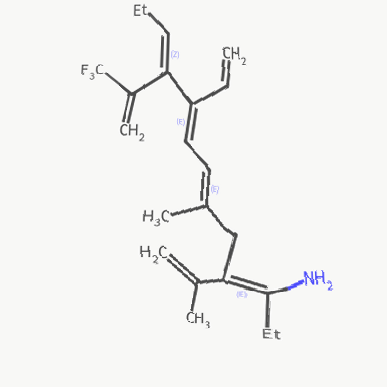 C=CC(=C\C=C(/C)C/C(C(=C)C)=C(\N)CC)/C(=C/CC)C(=C)C(F)(F)F